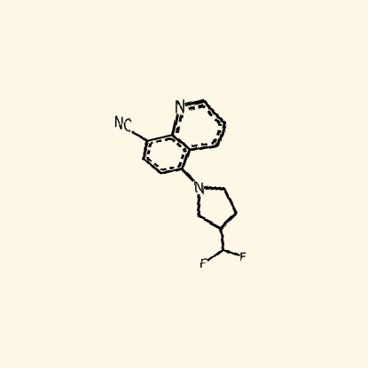 N#Cc1ccc(N2CCC(C(F)F)C2)c2cccnc12